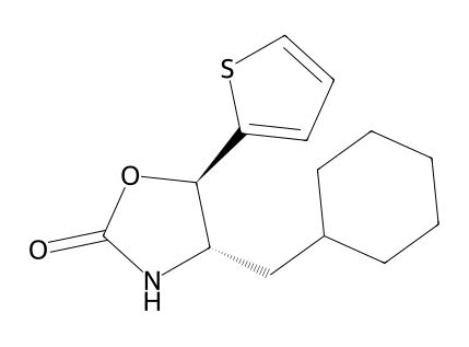 O=C1N[C@@H](CC2CCCCC2)[C@H](c2cccs2)O1